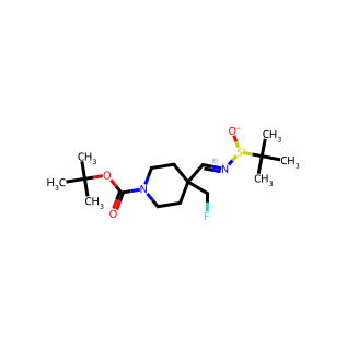 CC(C)(C)OC(=O)N1CCC(/C=N/[S+]([O-])C(C)(C)C)(CF)CC1